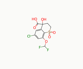 O=C(O)C1(O)CCS(=O)(=O)c2c(OC(F)F)cc(Cl)cc21